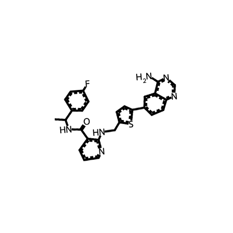 CC(NC(=O)c1cccnc1NCc1ccc(-c2ccc3ncnc(N)c3c2)s1)c1ccc(F)cc1